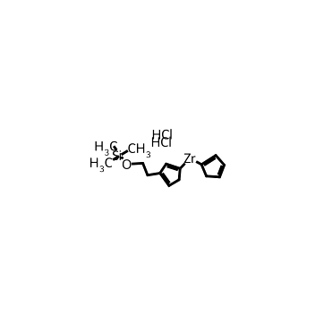 C[Si](C)(C)OCCC1=CC[C]([Zr][C]2=CC=CC2)=C1.Cl.Cl